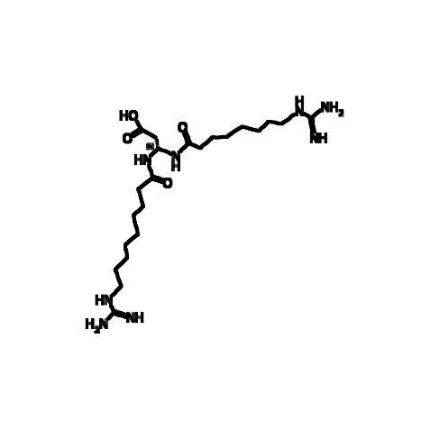 N=C(N)NCCCCCCCCC(=O)N[C@H](CC(=O)O)NC(=O)CCCCCCCNC(=N)N